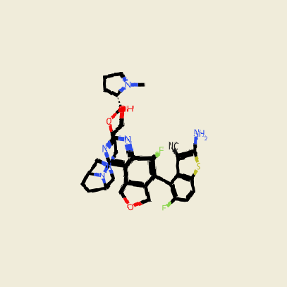 CN1CCC[C@H]1COc1nc(N2C3CCC2CN(CCCO)C3)c2c3c(c(-c4c(F)ccc5sc(N)c(C#N)c45)c(F)c2n1)COC3